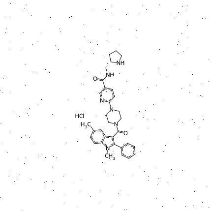 Cc1ccc2c(c1)c(C(=O)N1CCN(c3ccc(C(=O)NC[C@@H]4CCCN4)cn3)CC1)c(-c1ccccc1)n2C.Cl